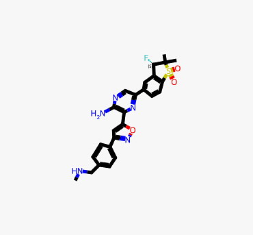 CNCc1ccc(-c2cc(-c3nc(-c4ccc5c(c4)[C@H](F)C(C)(C)S5(=O)=O)cnc3N)on2)cc1